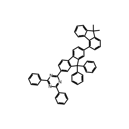 CC1(C)c2ccccc2-c2c(-c3ccc4c(c3)C(c3ccccc3)(c3ccccc3)c3cc(-c5nc(-c6ccccc6)nc(-c6ccccc6)n5)ccc3-4)cccc21